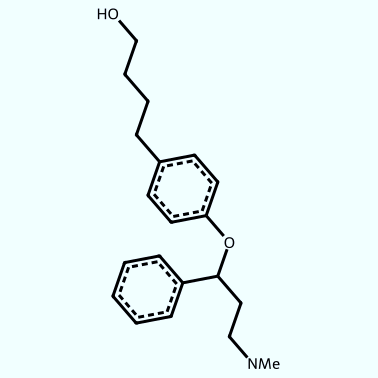 CNCCC(Oc1ccc(CCCCO)cc1)c1ccccc1